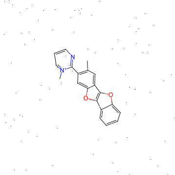 Cc1cc2c(cc1-c1nccc[n+]1C)oc1c3ccccc3oc21